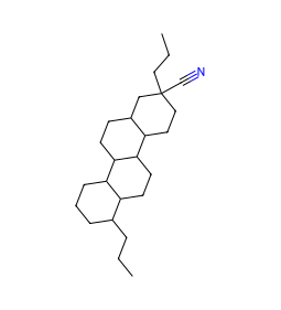 CCCC1CCCC2C1CCC1C3CCC(C#N)(CCC)CC3CCC21